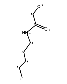 CCCCCNC(=O)C[O]